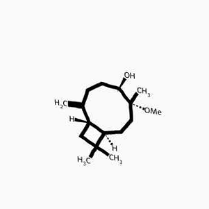 C=C1CC[C@@H](O)[C@](C)(OC)CC[C@@H]2[C@@H]1CC2(C)C